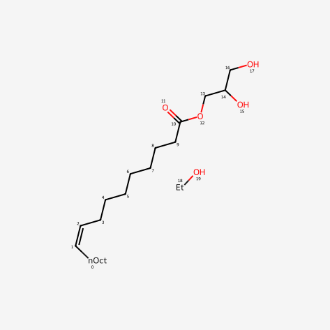 CCCCCCCC/C=C\CCCCCCCC(=O)OCC(O)CO.CCO